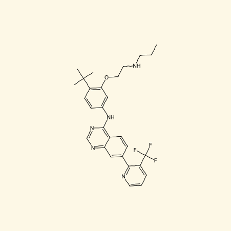 CCCNCCOc1cc(Nc2ncnc3cc(-c4ncccc4C(F)(F)F)ccc23)ccc1C(C)(C)C